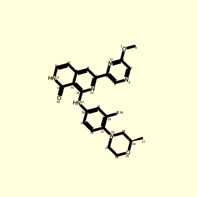 COc1cncc(-c2cc3cc[nH]c(=O)c3c(Nc3ccc(N4CCO[C@H](C)C4)c(F)c3)n2)n1